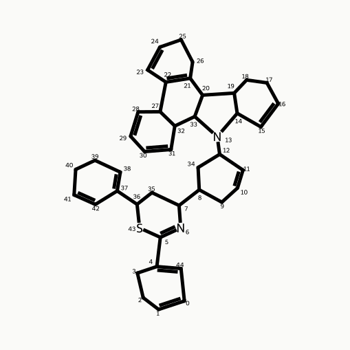 C1=CCCC(C2=NC(C3CC=CC(N4C5C=CCCC5C5C6=C(C=CCC6)C6C=CC=CC6C54)C3)CC(C3=CCCC=C3)S2)=C1